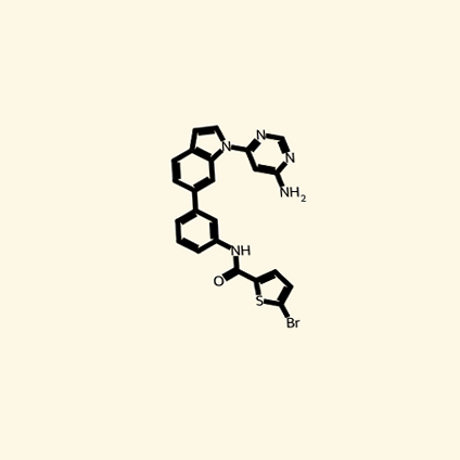 Nc1cc(-n2ccc3ccc(-c4cccc(NC(=O)c5ccc(Br)s5)c4)cc32)ncn1